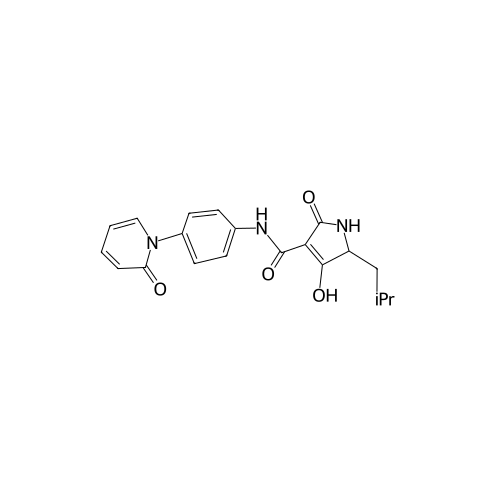 CC(C)CC1NC(=O)C(C(=O)Nc2ccc(-n3ccccc3=O)cc2)=C1O